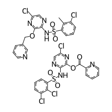 Cc1c(Cl)cccc1S(=O)(=O)Nc1ncc(Cl)nc1OCc1cccnc1.O=C(Oc1nc(Cl)cnc1NS(=O)(=O)c1cccc(Cl)c1Cl)c1ccccn1